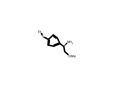 CCSc1ccc([C@@H](N)COC)cc1